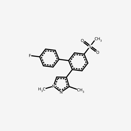 Cc1nn(C)cc1-c1ccc(S(C)(=O)=O)cc1-c1ccc(F)cc1